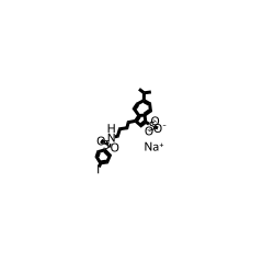 CC(C)c1ccc2c(CCCCNS(=O)(=O)c3ccc(I)cc3)cc(S(=O)(=O)[O-])c-2cc1.[Na+]